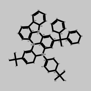 CC(C)(C)C1=CCC2C(=C1)B1c3cccc4c3N(c3cc(C(C)(C5=CCCC=C5)C5C=CC=CC5)cc(c31)N2C1=CCC(C(C)(C)C)CC1)C1C=CC=CC41